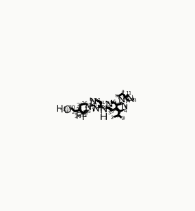 CC(C)c1cnc(N2CCC23CN(C)C3)c2cnc(Nc3ccnc(N4CCC(CCO)C(F)(F)C4)n3)cc12